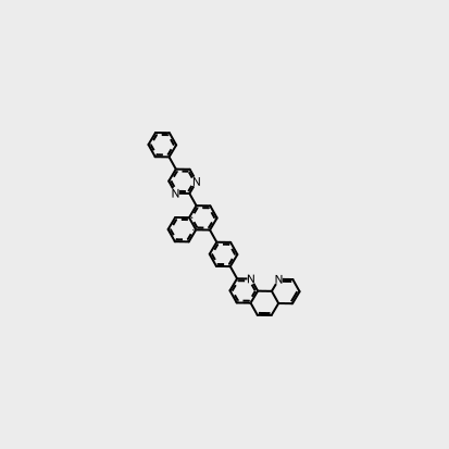 C1=CC2C=Cc3ccc(-c4ccc(-c5ccc(-c6ncc(-c7ccccc7)cn6)c6ccccc56)cc4)nc3C2N=C1